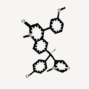 COc1cccc(-c2cc(=O)n(C)c3ccc([C@](C)(c4ccc(Cl)cc4)c4cncn4C)cc23)c1